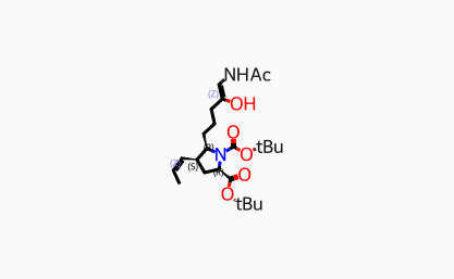 C/C=C\[C@@H]1C[C@H](C(=O)OC(C)(C)C)N(C(=O)OC(C)(C)C)[C@@H]1CCC/C(O)=C/NC(C)=O